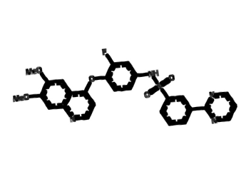 COc1cc2nccc(Oc3ccc(NS(=O)(=O)c4cccc(-c5ncccn5)c4)cc3F)c2cc1OC